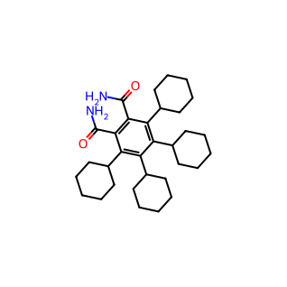 NC(=O)c1c(C(N)=O)c(C2CCCCC2)c(C2CCCCC2)c(C2CCCCC2)c1C1CCCCC1